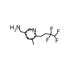 Cc1cc(CN)cnc1CCC(F)(F)C(F)F